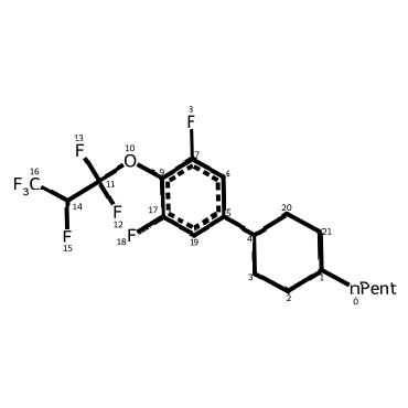 CCCCCC1CCC(c2cc(F)c(OC(F)(F)C(F)C(F)(F)F)c(F)c2)CC1